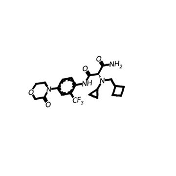 NC(=O)[C@@H](C(=O)Nc1ccc(N2CCOCC2=O)cc1C(F)(F)F)N(CC1CCC1)C1CC1